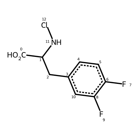 O=C(O)C(Cc1ccc(F)c(F)c1)NCl